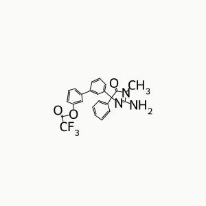 CN1C(=O)C(c2ccccc2)(c2cccc(-c3cccc(OC(=O)C(F)(F)F)c3)c2)N=C1N